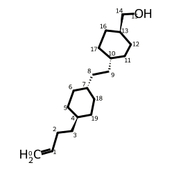 C=CCC[C@H]1CC[C@H](CC[C@H]2CC[C@H](CO)CC2)CC1